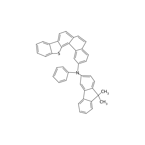 CC1(C)c2ccccc2-c2cc(N(c3ccccc3)c3ccc4ccc5ccc6c7ccccc7sc6c5c4c3)ccc21